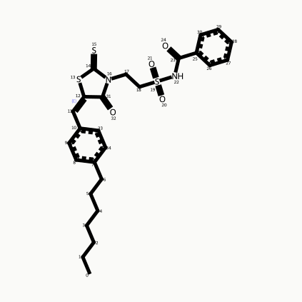 CCCCCCCc1ccc(/C=C2/SC(=S)N(CCS(=O)(=O)NC(=O)c3ccccc3)C2=O)cc1